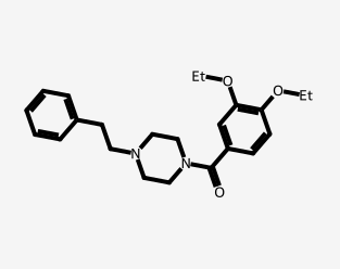 CCOc1ccc(C(=O)N2CCN(CCc3ccccc3)CC2)cc1OCC